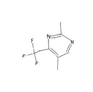 Cc1n[c]c(C)c(C(F)(F)F)n1